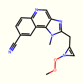 COON1C=C1Cc1nc2cnc3ccc(C#N)cc3c2n1C